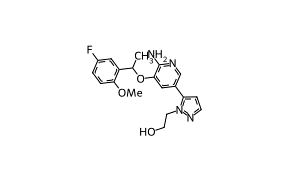 COc1ccc(F)cc1C(C)Oc1cc(-c2ccnn2CCO)cnc1N